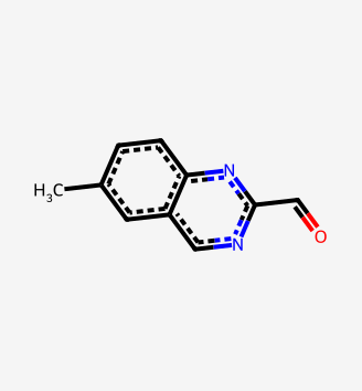 Cc1ccc2nc(C=O)ncc2c1